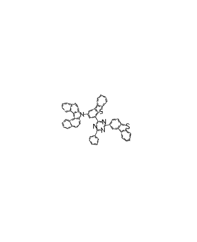 c1ccc(-c2nc(-c3ccc4sc5ccccc5c4c3)nc(-c3cc(-n4c5ccc6ccccc6c5c5c6ccccc6ccc54)cc4c3sc3ccccc34)n2)cc1